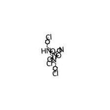 O=C(CC1C(=O)N(C(Cl)Cc2ccc(Cl)cc2)CC(=O)N1Cc1ccncc1)NCCc1ccc(Cl)cc1